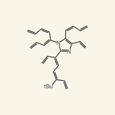 C=C/C=C\C(=C/C=C)n1c(/C(C=C)=C/C=C(\C=C)C(C)(C)C)nc(C=C)c1/C=C\C=C